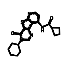 O=C(Nc1ccnc2sc3c(=O)n(C4CCCCC4)cnc3c12)C1CCC1